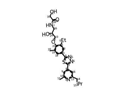 CCc1cc(-c2nnc(-c3cc(C)nc(CC(C)C)c3)s2)cc(C)c1OC[C@@H](O)CNC(=O)CO